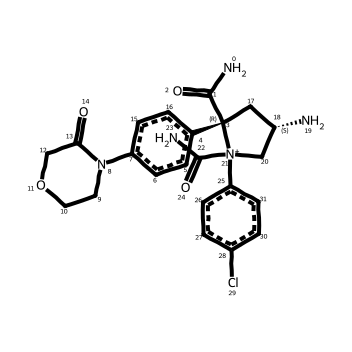 NC(=O)[C@]1(c2ccc(N3CCOCC3=O)cc2)C[C@H](N)C[N+]1(C(N)=O)c1ccc(Cl)cc1